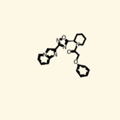 O=C(COc1ccccc1)N1CCCC[C@@H]1c1nc(-c2cn3ccccc3n2)no1